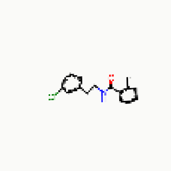 [CH2]c1ccccc1C(=O)NCCc1cccc(Cl)c1